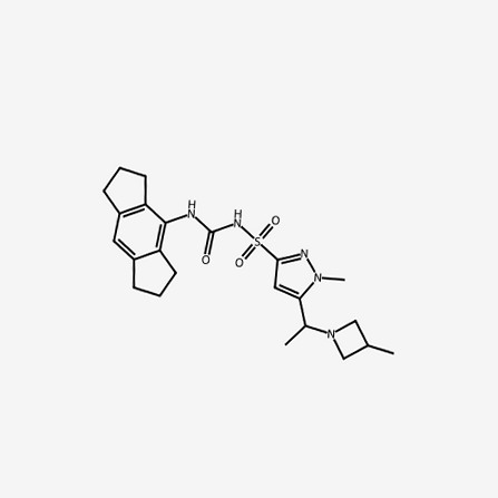 CC1CN(C(C)c2cc(S(=O)(=O)NC(=O)Nc3c4c(cc5c3CCC5)CCC4)nn2C)C1